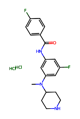 CN(c1cc(F)cc(NC(=O)c2ccc(F)cc2)c1)C1CCNCC1.Cl.Cl